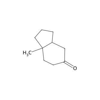 CC12CCCC1CC(=O)CC2